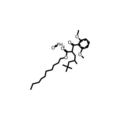 CCCCCCCCCCOC(=O)C(CC(C)CC(C)(C)C)C(=O)c1c(OC)cccc1OC.O=[PH3]